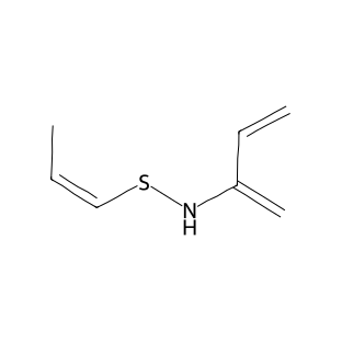 C=CC(=C)NS/C=C\C